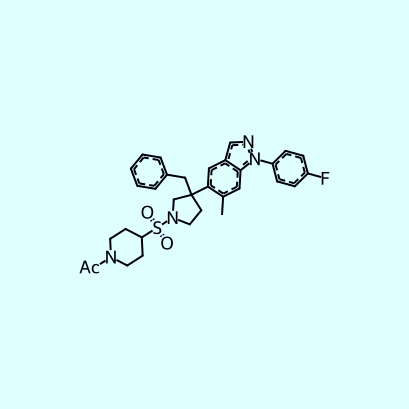 CC(=O)N1CCC(S(=O)(=O)N2CCC(Cc3ccccc3)(c3cc4cnn(-c5ccc(F)cc5)c4cc3C)C2)CC1